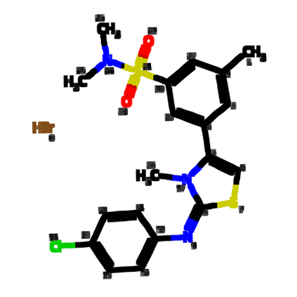 Br.Cc1cc(-c2csc(=Nc3ccc(Cl)cc3)n2C)cc(S(=O)(=O)N(C)C)c1